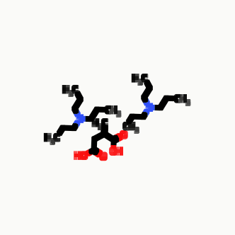 C=C(CC(=O)O)C(=O)O.CCCN(CCC)CCC.CCCN(CCC)CCC